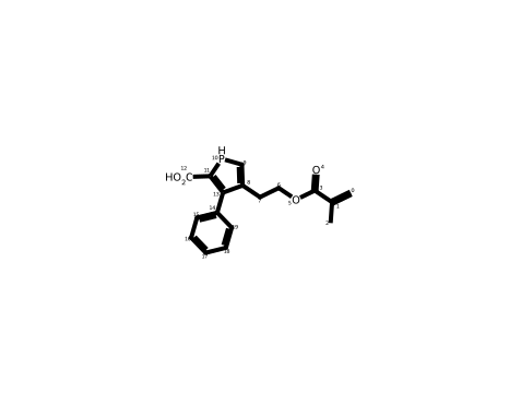 C=C(C)C(=O)OCCc1c[pH]c(C(=O)O)c1-c1ccccc1